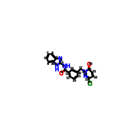 O=C(Nc1nc2ccccc2[nH]1)c1cccc(Cn2nc(Cl)ccc2=O)c1